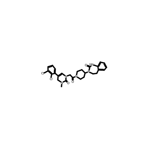 CN1CC(c2cccc(Cl)c2Cl)=CN(CC(=O)N2CCC(N3CCc4ccccc4NC3=O)CC2)C1=O